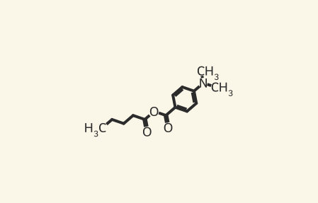 CCCCC(=O)OC(=O)c1ccc(N(C)C)cc1